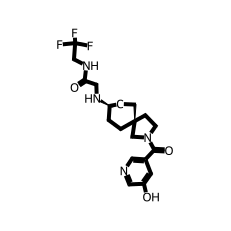 O=C(CN[C@H]1CC[C@]2(CCN(C(=O)c3cncc(O)c3)C2)CC1)NCC(F)(F)F